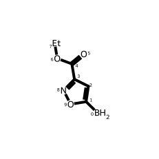 Bc1cc(C(=O)OCC)no1